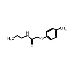 CCCNC(=O)COc1ccc(C)cc1